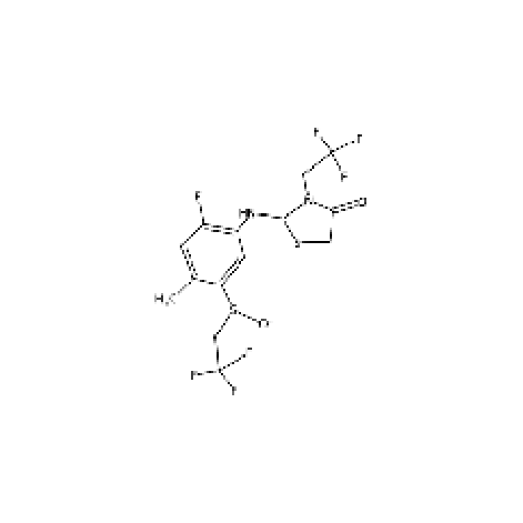 Cc1cc(F)c(NC2SCC(=O)N2CC(F)(F)F)cc1[S+]([O-])CC(F)(F)F